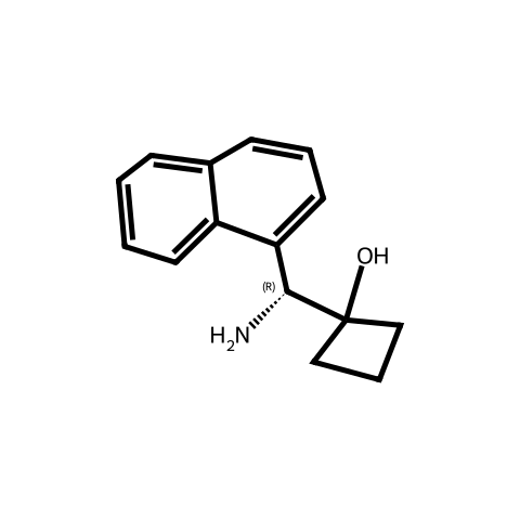 N[C@H](c1cccc2ccccc12)C1(O)CCC1